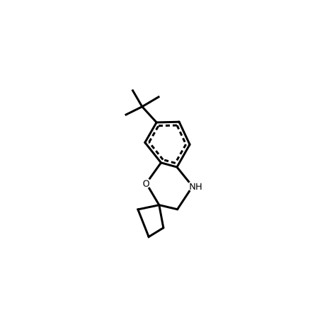 CC(C)(C)c1ccc2c(c1)OC1(CCC1)CN2